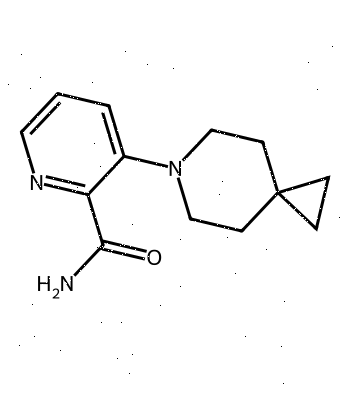 NC(=O)c1ncccc1N1CCC2(CC1)CC2